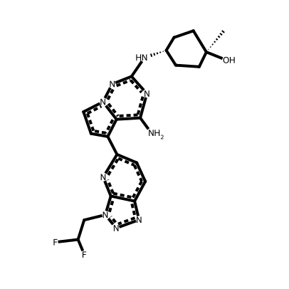 C[C@]1(O)CC[C@H](Nc2nc(N)c3c(-c4ccc5nnn(CC(F)F)c5n4)ccn3n2)CC1